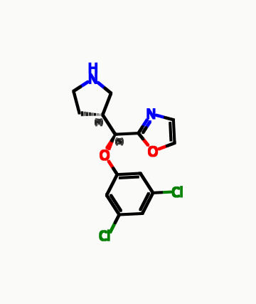 Clc1cc(Cl)cc(O[C@H](c2ncco2)[C@@H]2CCNC2)c1